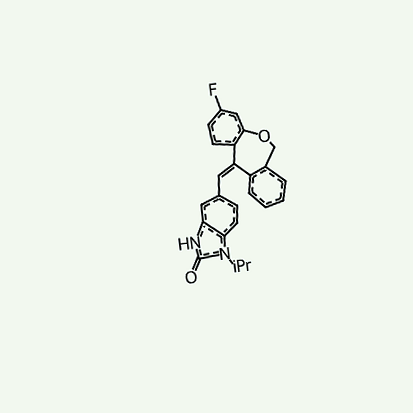 CC(C)n1c(=O)[nH]c2cc(/C=C3\c4ccccc4COc4cc(F)ccc43)ccc21